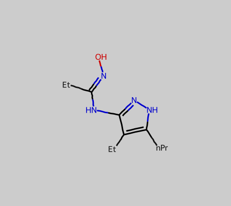 CCCc1[nH]nc(NC(CC)=NO)c1CC